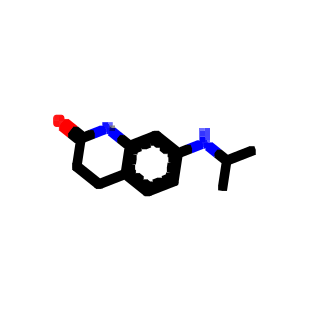 CC(C)Nc1ccc2c(c1)[N]C(=O)CC2